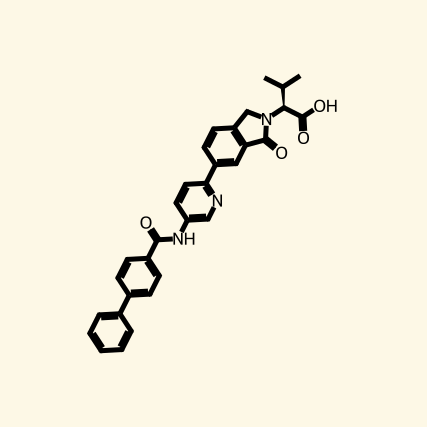 CC(C)[C@@H](C(=O)O)N1Cc2ccc(-c3ccc(NC(=O)c4ccc(-c5ccccc5)cc4)cn3)cc2C1=O